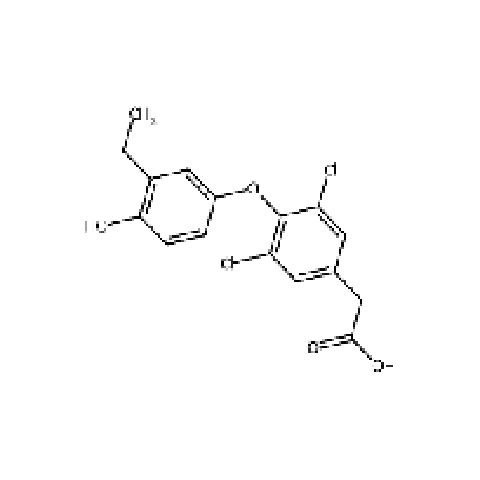 CCc1cc(Oc2c(Cl)cc(CC(=O)O)cc2Cl)ccc1O